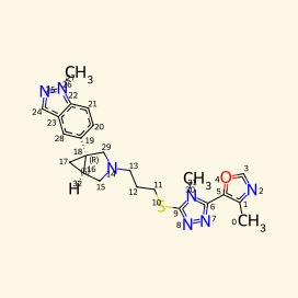 Cc1ncoc1-c1nnc(SCCCN2C[C@H]3C[C@@]3(c3ccc4c(cnn4C)c3)C2)n1C